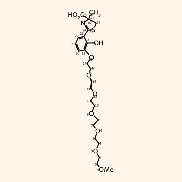 COCCOCCOCCOCCOCCOCCOc1cccc(C2=N[C@@](C)(C(=O)O)CS2)c1O